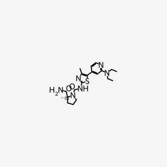 CCN(CC)c1cc(-c2sc(NC(=O)N3CCC[C@@]3(C)C(N)=O)nc2C)ccn1